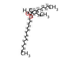 CCCCCCCCCCCCCCCCOC(=O)C(C)(CCCC)CCCCCCCC